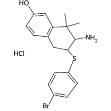 CC1(C)c2cc(O)ccc2CC(Sc2ccc(Br)cc2)C1N.Cl